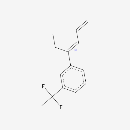 C=C/C=C(\CC)c1cccc(C(C)(F)F)c1